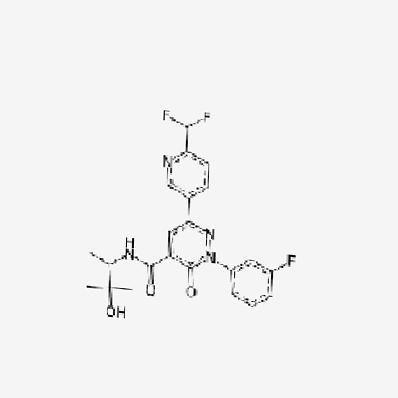 CC(NC(=O)c1cc(-c2ccc(C(F)F)nc2)nn(-c2cccc(F)c2)c1=O)C(C)(C)O